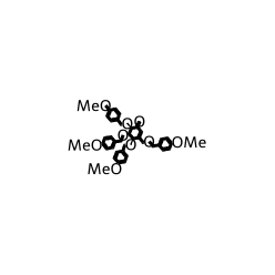 COc1ccc(COCC2=CC(=O)[C@H](OCc3ccc(OC)cc3)[C@@H](OCc3ccc(OC)cc3)[C@@H]2OCc2ccc(OC)cc2)cc1